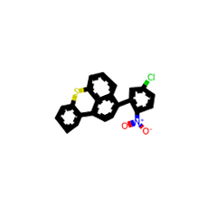 O=[N+]([O-])c1ccc(Cl)cc1-c1ccc2c3c(cccc13)Sc1ccccc1-2